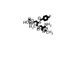 C/C(=C(\CCOP(=O)(O)O)SC(=O)c1ccc(F)cc1)N(C=O)Cc1cnc(C)nc1N